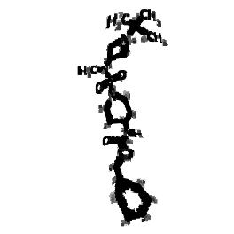 CN(C1CN(C(C)(C)C)C1)S(=O)(=O)N1CCC(NC(=O)OCc2ccccc2)CC1